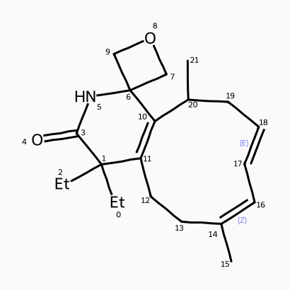 CCC1(CC)C(=O)NC2(COC2)C2=C1CC/C(C)=C\C=C\CC2C